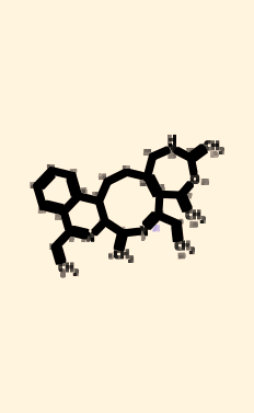 C=CC1=NC2C(=C)/N=C(/C=C)C3=C(CCC2c2ccccc21)CNC(=C)OC3=C